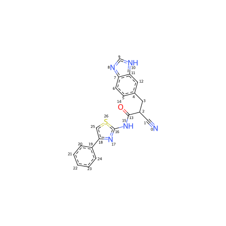 N#CC(Cc1ccc2nc[nH]c2c1)C(=O)Nc1nc(-c2ccccc2)cs1